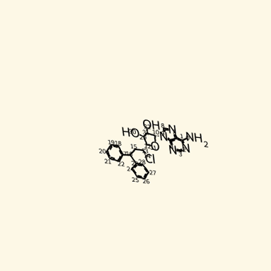 Nc1ncnc2c1ncn2[C@@H]1O[C@H](C(Cl)CC(c2ccccc2)c2ccccc2)[C@@H](O)[C@H]1O